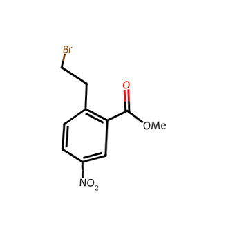 COC(=O)c1cc([N+](=O)[O-])ccc1CCBr